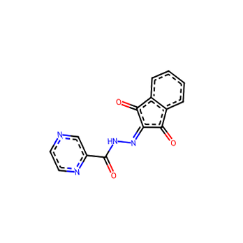 O=C(NN=c1c(=O)c2ccccc2c1=O)c1cnccn1